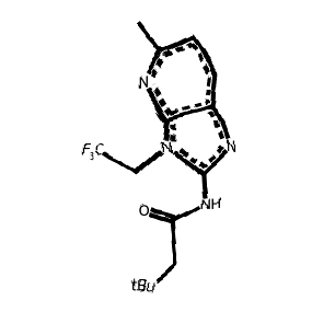 Cc1ccc2nc(NC(=O)CC(C)(C)C)n(CC(F)(F)F)c2n1